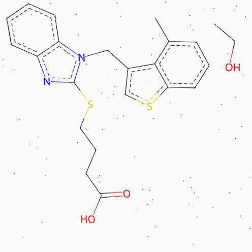 CCO.Cc1cccc2scc(Cn3c(SCCCC(=O)O)nc4ccccc43)c12